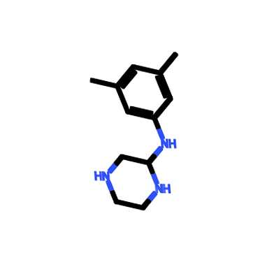 Cc1cc(C)cc(NC2CNCCN2)c1